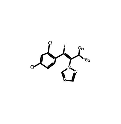 CC(C)(C)C(O)C(=C(I)c1ccc(Cl)cc1Cl)n1cncn1